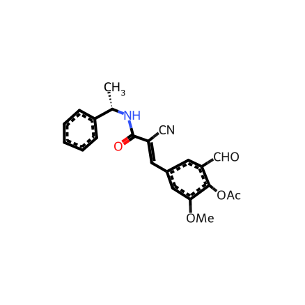 COc1cc(/C=C(\C#N)C(=O)N[C@@H](C)c2ccccc2)cc(C=O)c1OC(C)=O